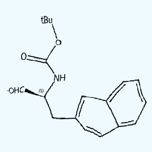 CC(C)(C)OC(=O)N[C@H]([C]=O)Cc1ccc2ccccc2c1